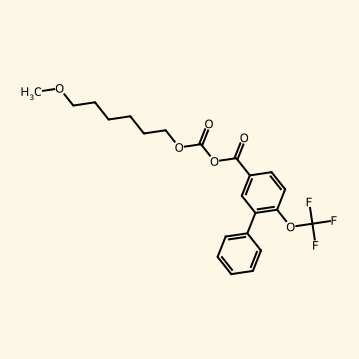 COCCCCCCOC(=O)OC(=O)c1ccc(OC(F)(F)F)c(-c2ccccc2)c1